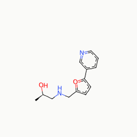 C[C@@H](O)CNCc1ccc(-c2cccnc2)o1